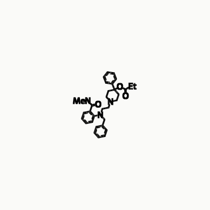 CCC(=O)OC1(c2ccccc2)CCN(CCN(Cc2ccccc2)c2ccccc2C(=O)NC)CC1